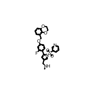 CNCc1cc(-c2ccc(OCc3cccc4c3OCCO4)cc2F)n(S(=O)(=O)c2cccnc2)c1